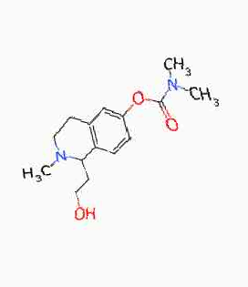 CN(C)C(=O)Oc1ccc2c(c1)CCN(C)C2CCO